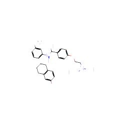 CCN(c1cc(OC)ccc1[C@H]1CCc2cc(O)ccc2C1)C(C)c1ccc(OCCN(C)C)cc1